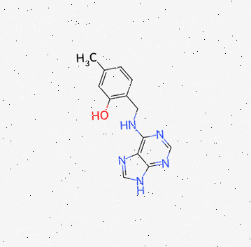 Cc1ccc(CNc2ncnc3[nH]cnc23)c(O)c1